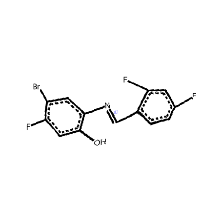 Oc1cc(F)c(Br)cc1/N=C/c1ccc(F)cc1F